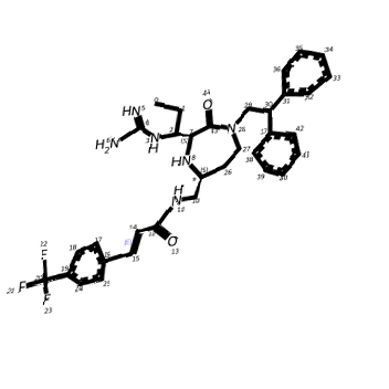 CCC(NC(=N)N)[C@@H]1N[C@H](CNC(=O)/C=C/c2ccc(C(F)(F)F)cc2)CCN(CC(c2ccccc2)c2ccccc2)C1=O